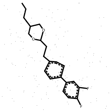 CCCC1COC(CCc2ccc(-c3ccc(F)c(F)c3)cc2)OC1